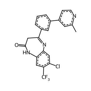 Cc1cc(-c2cccc(C3=Nc4cc(Cl)c(C(F)(F)F)cc4NC(=O)C3)c2)ccn1